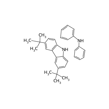 CC(C)(C)c1ccc2[nH]c3ccc(C(C)(C)C)cc3c2c1.c1ccc(Nc2ccccc2)cc1